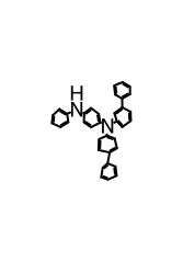 c1ccc(Nc2ccc(N(c3ccc(-c4ccccc4)cc3)c3cccc(-c4ccccc4)c3)cc2)cc1